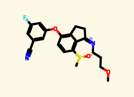 COCCC/N=C1/CCc2c(Oc3cc(F)cc(C#N)c3)ccc([S+](C)[O-])c21